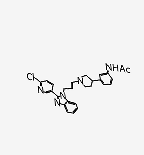 CC(=O)Nc1cccc(C2CCN(CCCn3c(-c4ccc(Cl)nc4)nc4ccccc43)CC2)c1